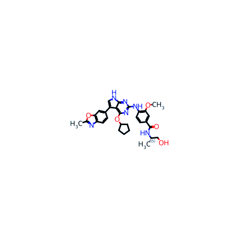 COc1cc(C(=O)N[C@@H](C)CO)ccc1Nc1nc(OC2CCCC2)c2c(-c3ccc4nc(C)oc4c3)c[nH]c2n1